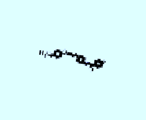 C=Cc1ccc(OCCCCc2ccc(/C=C/C(=O)c3ccc(F)cc3)cc2)cc1